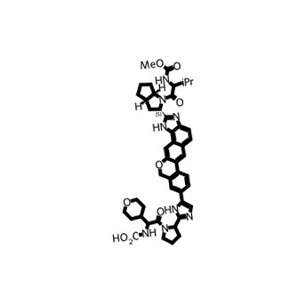 COC(=O)NC(C(=O)N1[C@H](c2nc3ccc4cc5c(cc4c3[nH]2)OCc2cc(-c3cnc(C4CCCN4C(=O)C(NC(=O)O)C4CCOCC4)[nH]3)ccc2-5)C[C@@H]2CCC[C@@H]21)C(C)C